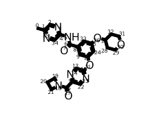 Cc1cnc(NC(=O)c2cc(Oc3cnc(C(=O)N4CCC4)cn3)cc(OC3CCOCC3)c2)cn1